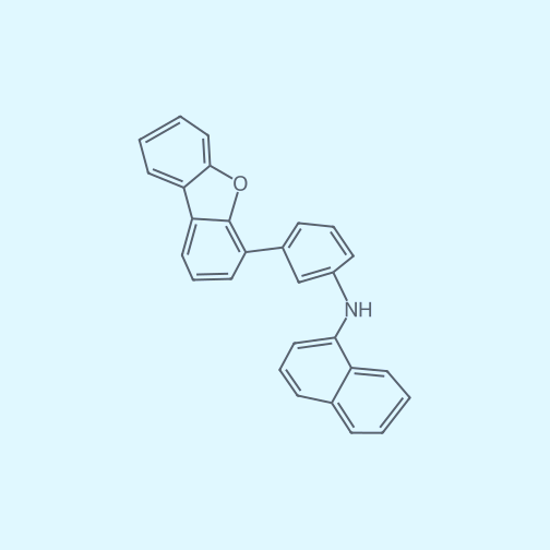 c1cc(Nc2cccc3ccccc23)cc(-c2cccc3c2oc2ccccc23)c1